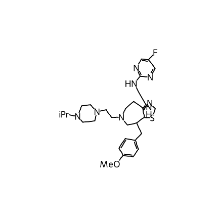 COc1ccc(CC2CN(CCN3CCN(C(C)C)CC3)CCC34C=C(Nc5ncc(F)cn5)NN3CSC24)cc1